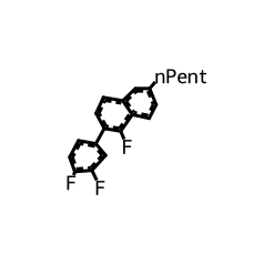 CCCCCc1ccc2c(F)c(-c3ccc(F)c(F)c3)ccc2c1